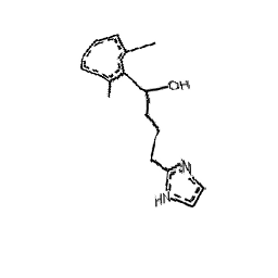 Cc1cccc(C)c1C(O)CCCc1ncc[nH]1